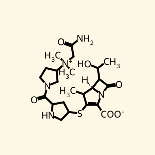 CC(O)C1C(=O)N2C(C(=O)[O-])=C(SC3CNC(C(=O)N4CCC([N+](C)(C)CC(N)=O)C4)C3)C(C)[C@@H]12